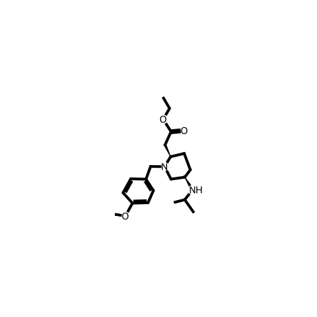 CCOC(=O)C[C@H]1CC[C@@H](NC(C)C)CN1Cc1ccc(OC)cc1